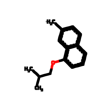 [CH2]c1ccc2cccc(OCC(C)C)c2c1